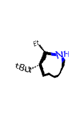 CC[C@H]1NCCC[C@@H]1C(C)(C)C